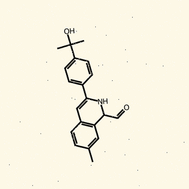 Cc1ccc2c(c1)C(C=O)NC(c1ccc(C(C)(C)O)cc1)=C2